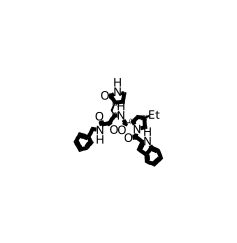 CC[C@@H]1C[C@@H](C(=O)N[C@@H](C[C@@H]2CCNC2=O)C(=O)C(=O)NCc2ccccc2)N(C(=O)c2cc3ccccc3[nH]2)C1